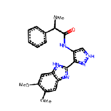 CNC(C(=O)Nc1c[nH]nc1-c1nc2cc(OC)c(OC)cc2[nH]1)c1ccccc1